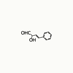 O=CC(O)/C=C/c1ccccc1